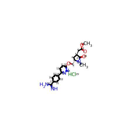 COC(=O)C[C@@H]1C[C@@H](COc2ccc(-c3ccc(C(=N)N)cc3)nn2)N(C)C1=O.Cl